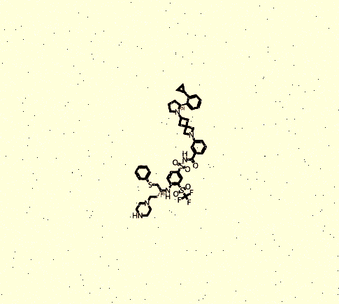 O=C(NS(=O)(=O)c1ccc(N[C@H](CCN2CCNCC2)CSc2ccccc2)c(S(=O)(=O)C(F)(F)F)c1)c1cccc(N2CC3(CC(N4CCC[C@H]4c4ccccc4C4CC4)C3)C2)c1